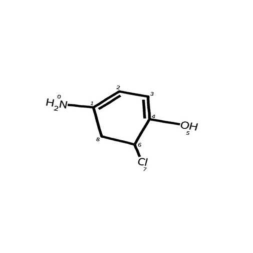 NC1=CC=C(O)C(Cl)C1